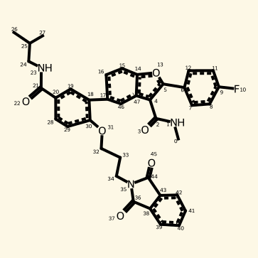 CNC(=O)c1c(-c2ccc(F)cc2)oc2ccc(-c3cc(C(=O)NCC(C)C)ccc3OCCCN3C(=O)c4ccccc4C3=O)cc12